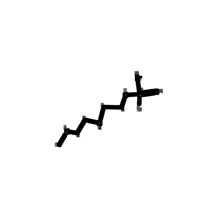 COCCOCCOP(=O)(F)Br